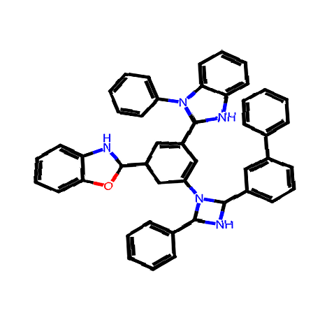 C1=C(C2Nc3ccccc3N2c2ccccc2)C=C(N2C(c3ccccc3)NC2c2cccc(-c3ccccc3)c2)CC1C1Nc2ccccc2O1